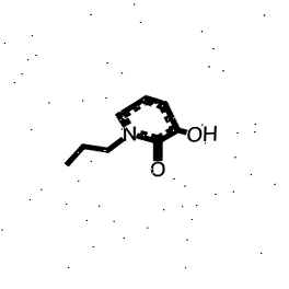 CCCn1cccc(O)c1=O